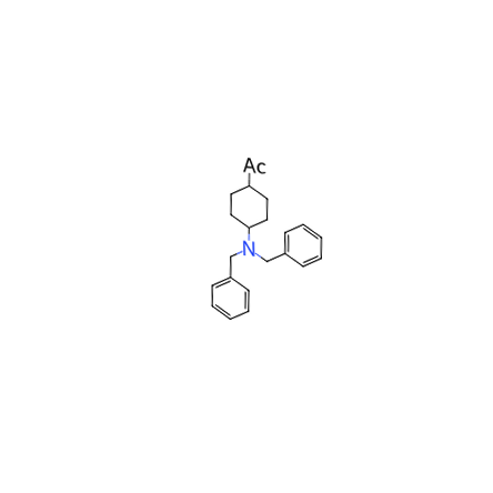 CC(=O)C1CCC(N(Cc2ccccc2)Cc2ccccc2)CC1